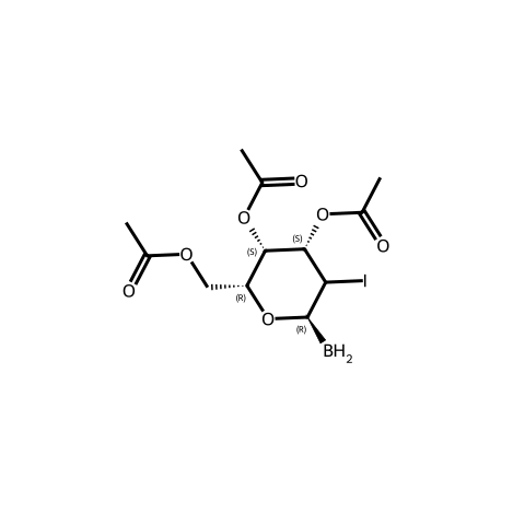 B[C@H]1O[C@H](COC(C)=O)[C@H](OC(C)=O)[C@H](OC(C)=O)C1I